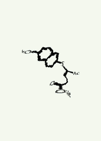 COC(=O)CCC(Sc1ccc2cc(O)ccc2c1)C(C)=O